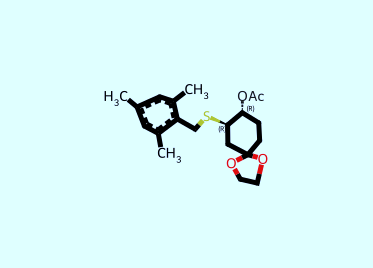 CC(=O)O[C@@H]1CCC2(C[C@H]1SCc1c(C)cc(C)cc1C)OCCO2